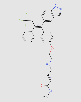 CNC(=O)/C=C/CNCCOc1ccc(/C(=C(/CC(F)(F)F)c2ccccc2)c2ccc3[nH]ncc3c2)cc1